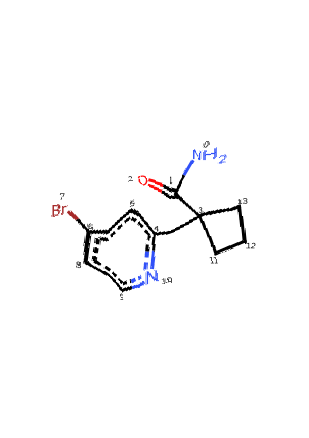 NC(=O)C1(c2cc(Br)ccn2)CCC1